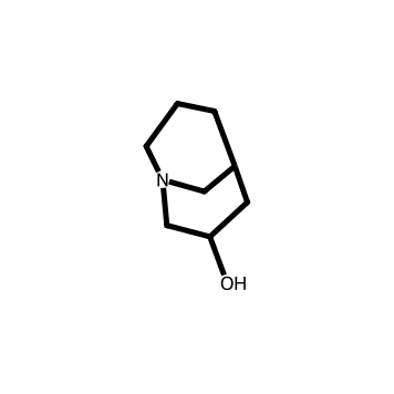 OC1CC2CCCN(C1)C2